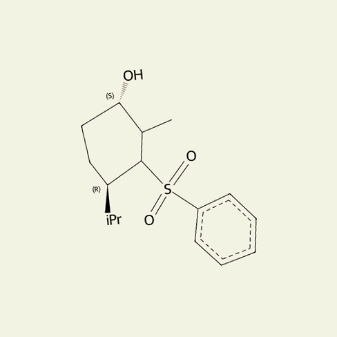 CC(C)[C@H]1CC[C@H](O)C(C)C1S(=O)(=O)c1ccccc1